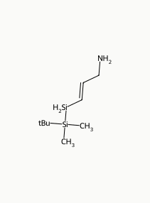 CC(C)(C)[Si](C)(C)[SiH2]C=CCN